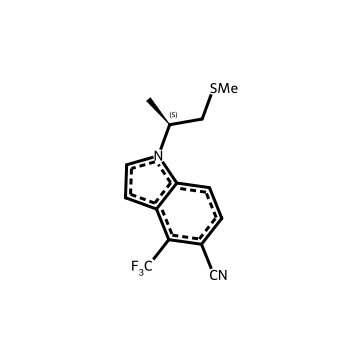 CSC[C@H](C)n1ccc2c(C(F)(F)F)c(C#N)ccc21